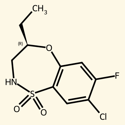 CC[C@@H]1CNS(=O)(=O)c2cc(Cl)c(F)cc2O1